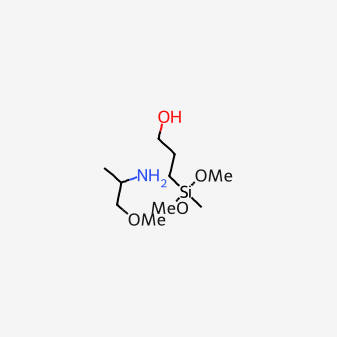 COCC(C)N.CO[Si](C)(CCCO)OC